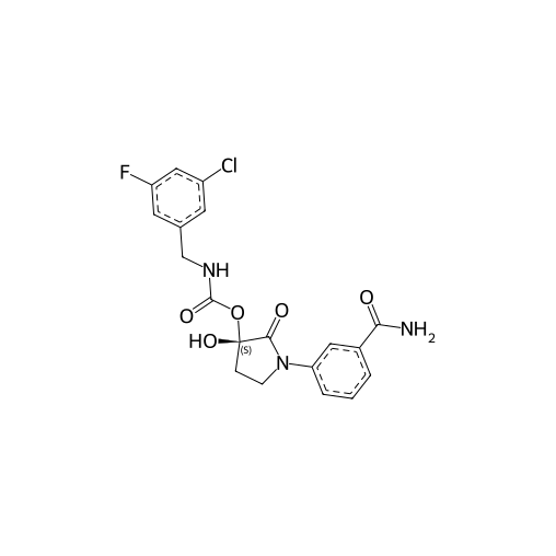 NC(=O)c1cccc(N2CC[C@](O)(OC(=O)NCc3cc(F)cc(Cl)c3)C2=O)c1